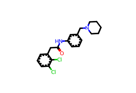 O=C(Cc1cccc(Cl)c1Cl)Nc1cccc(CN2CCCCC2)c1